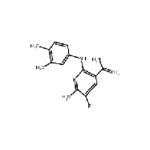 C=C(N)c1cc(F)c(N)nc1Nc1ccc(C)c(C)c1